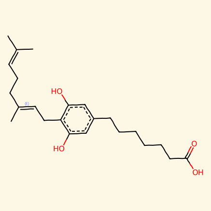 CC(C)=CCC/C(C)=C/Cc1c(O)cc(CCCCCCC(=O)O)cc1O